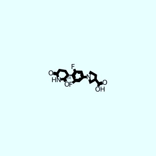 O=C1CC[C@@H](c2c(F)cc(N3CCC(C(=O)O)C3)cc2F)C(=O)N1